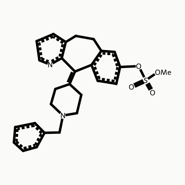 COS(=O)(=O)Oc1ccc2c(c1)CCc1cccnc1C2=C1CCN(Cc2ccccc2)CC1